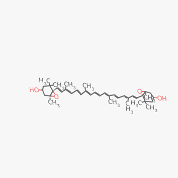 CC(/C=C/C=C(C)/C=C/C12O[C@]1(C)C[C@@H](O)CC2(C)C)=C\C=C\C=C(C)\C=C\C=C(C)\C=C\[C@@]12O[C@]1(C)CC(O)CC2(C)C